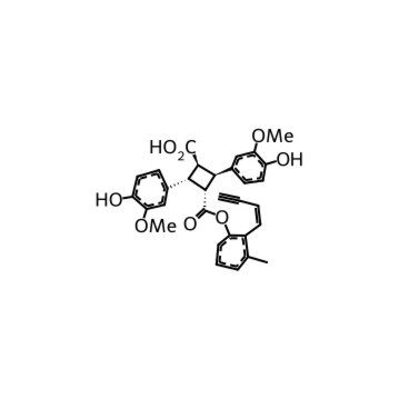 C#C/C=C\c1c(C)cccc1OC(=O)[C@H]1[C@H](c2ccc(O)c(OC)c2)[C@H](C(=O)O)[C@H]1c1ccc(O)c(OC)c1